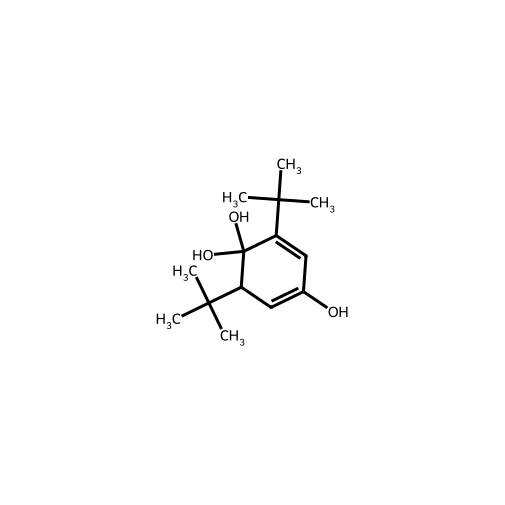 CC(C)(C)C1=CC(O)=CC(C(C)(C)C)C1(O)O